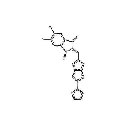 O=C1C(=Cc2cc3sc(-c4ccco4)cc3s2)C(=O)c2cc(Cl)c(Cl)cc21